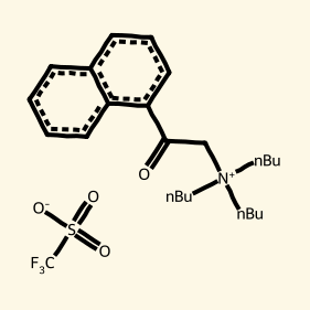 CCCC[N+](CCCC)(CCCC)CC(=O)c1cccc2ccccc12.O=S(=O)([O-])C(F)(F)F